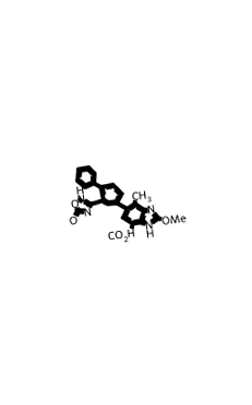 COc1nc2c(C)c(-c3ccc(-c4ccccc4)c(-c4nc(=O)o[nH]4)c3)cc(C(=O)O)c2[nH]1